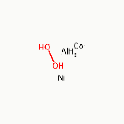 OO.[AlH3].[Co].[Ni]